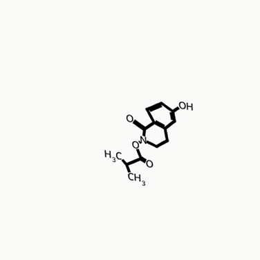 CC(C)C(=O)ON1CCc2cc(O)ccc2C1=O